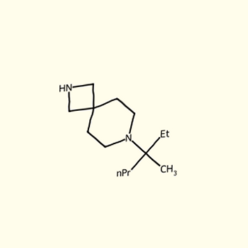 CCCC(C)(CC)N1CCC2(CC1)CNC2